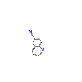 N#CC1=CC=C2N=CC=CC=C2C1